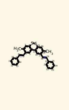 Cc1cc2c(cc1/C=C/c1ccccc1)-c1cc(/C=C/c3ccccc3)c(C)cc1SS2